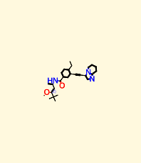 C=C(/C=C(\OC)C(C)(C)C)NC(=O)c1ccc(CC)c(C#Cc2cnc3ccccn23)c1